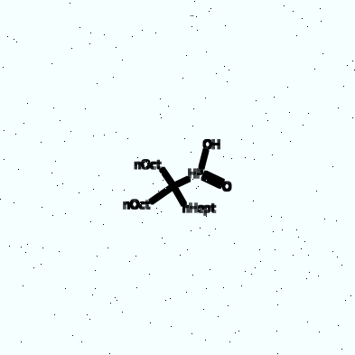 CCCCCCCCC(CCCCCCC)(CCCCCCCC)[PH](=O)O